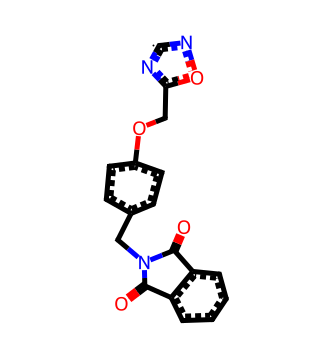 O=C1c2ccccc2C(=O)N1Cc1ccc(OCc2n[c]no2)cc1